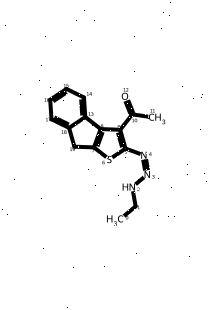 CCN/N=N\c1sc2c(c1C(C)=O)-c1ccccc1C2